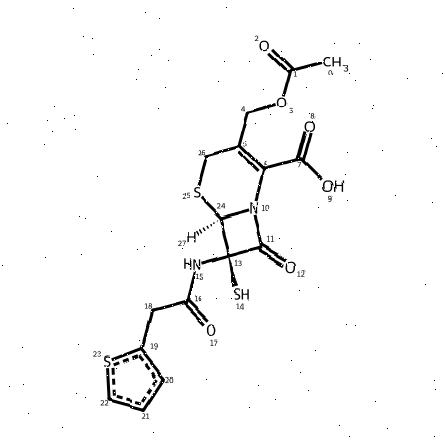 CC(=O)OCC1=C(C(=O)O)N2C(=O)[C@](S)(NC(=O)Cc3cccs3)[C@H]2SC1